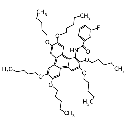 CCCCCOc1cc2c3cc(OCCCCC)c(OCCCCC)cc3c3c(NC(=O)c4cccc(F)c4)c(OCCCCC)c(OCCCCC)cc3c2cc1OCCCCC